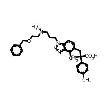 CCC(Cc1ccc2c(nnn2CCCN(C)CCOCc2ccccc2)c1C)(C(=O)O)c1ccc(C)cc1